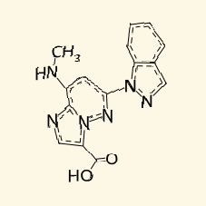 CNc1cc(-n2ncc3ccccc32)nn2c(C(=O)O)cnc12